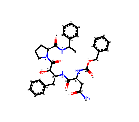 CC(NC(=O)[C@@H]1CCCN1C(=O)C(O)[C@H](Cc1ccccc1)NC(=O)[C@H](CC(N)=O)NC(=O)OCc1ccccc1)c1ccccc1